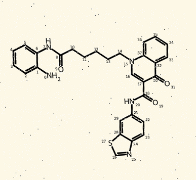 Nc1ccccc1NC(=O)CCCCCn1cc(C(=O)Nc2ccc3ncsc3c2)c(=O)c2ccccc21